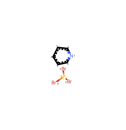 BrP(Br)Br.c1ccncc1